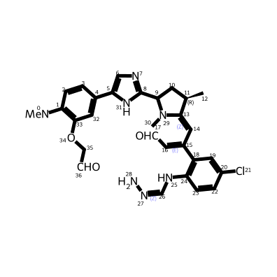 CNc1ccc(-c2cnc(C3C[C@@H](C)/C(=C/C(=C\C=O)c4cc(Cl)ccc4N/C=N\N)N3C)[nH]2)cc1OCC=O